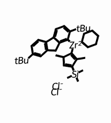 CC1=[C]([Zr+2](=[C]2CCCCC2)[c]2c(C(C)(C)C)ccc3c2Cc2cc(C(C)(C)C)ccc2-3)C(C)C=C1[Si](C)(C)C.[Cl-].[Cl-]